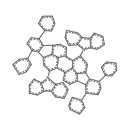 c1ccc(-c2ccc(-c3ccccc3)c3c2-c2ccc4c5c(-n6c7ccccc7c7ccccc76)cc6c7c(ccc(c8c(-n9c%10ccccc%10c%10ccccc%109)cc-3c2c48)c75)-c2c(-c3ccccc3)ccc(-c3ccccc3)c2-6)cc1